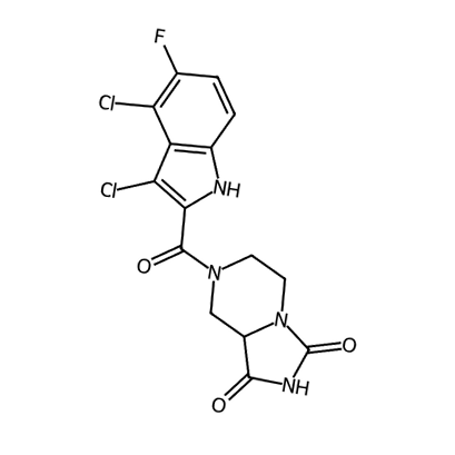 O=C1NC(=O)N2CCN(C(=O)c3[nH]c4ccc(F)c(Cl)c4c3Cl)CC12